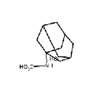 O=C(O)NC12CC3CC(C1)C(O)C(C3)C2